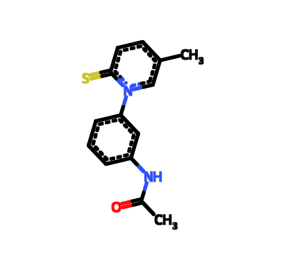 CC(=O)Nc1cccc(-n2cc(C)ccc2=S)c1